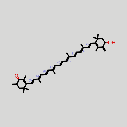 C=C1C(C)=C(/C=C/C(C)=C/C=C/C(C)=C/C=C/C=C(C)/C=C/C=C(C)/C=C/C2=C(C)C(=O)C(C)CC2(C)C)C(C)(C)CC1O